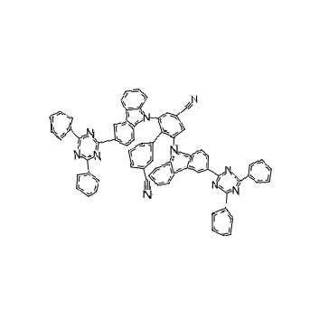 N#Cc1cccc(-c2c(-n3c4ccccc4c4cc(-c5nc(-c6ccccc6)nc(-c6ccccc6)n5)ccc43)cc(C#N)cc2-n2c3ccccc3c3cc(-c4nc(-c5ccccc5)nc(-c5ccccc5)n4)ccc32)c1